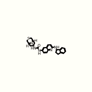 CN1[C@@H]2CSC[C@H]1C[C@H](NC(=O)Nc1ccc3nc(N[C@@H]4CCc5ccccc54)ccc3c1)C2